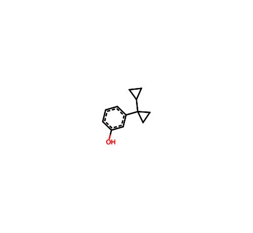 Oc1cccc(C2(C3CC3)CC2)c1